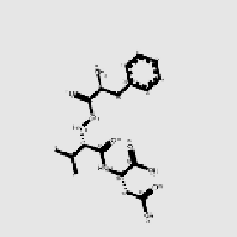 CC(C)[C@H](NOC(=O)[C@@H](N)Cc1ccccc1)C(=O)N[C@@H](CC(=O)O)C(=O)O